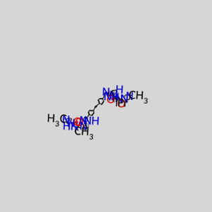 CC(NC(=O)N1CCN(C)CC1)C(=O)N1CCC[C@H]1c1ncc(-c2ccc(C#Cc3ccc(-c4cnc([C@@H]5CCCN5C(=O)[C@@H](NC(=O)N5CCN(C)CC5)C(C)C)[nH]4)cc3)cc2)[nH]1